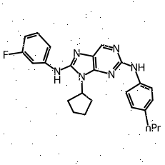 CCCc1ccc(Nc2ncc3nc(Nc4cccc(F)c4)n(C4CCCC4)c3n2)cc1